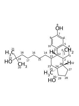 C=C[C@@]12CCc3cc(O)ccc3[C@H]1C(CCCCCC(C)(C)O)C[C@@]1(C)[C@H]2CC[C@@H]1O